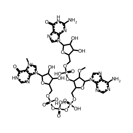 COC1C(OP(=O)(O)OCC2OC(n3cnc4c(=O)[nH]c(N)nc43)C(O)C2O)C(COP(=O)(O)OP(=O)(O)OP(=O)(O)OCC2OC(n3c[n+](C)c4c(=O)[nH]cnc43)C(O)C2O)OC1n1cnc2c(N)ncnc21